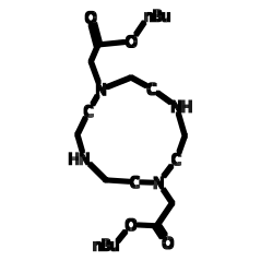 CCCCOC(=O)CN1CCNCCN(CC(=O)OCCCC)CCNCC1